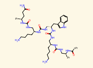 CCCC(=O)N[C@H](CNC(=O)N[C@@H](CCCCN)CNC(=O)N[C@H](CNC(=O)N[C@@H](CCCCN)CNC(=O)N[C@H](CCC(N)=O)C(C)C)Cc1c[nH]c2ccccc12)C(C)C